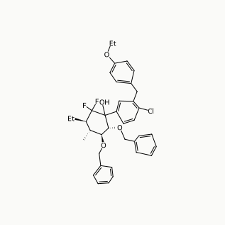 CCOc1ccc(Cc2cc(C3(O)[C@H](OCc4ccccc4)[C@@H](OCc4ccccc4)[C@H](C)[C@@H](CC)C3(F)F)ccc2Cl)cc1